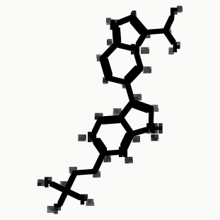 FC(F)c1cnc2ccc(-c3c[nH]c4nc(CCC(F)(F)F)ncc34)cn12